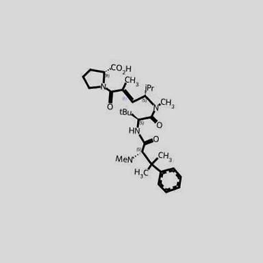 CN[C@H](C(=O)N[C@H](C(=O)N(C)[C@H](/C=C(\C)C(=O)N1CCC[C@@H]1C(=O)O)C(C)C)C(C)(C)C)C(C)(C)c1ccccc1